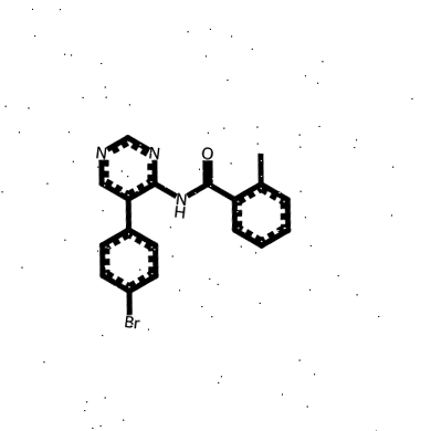 Cc1ccccc1C(=O)Nc1ncncc1-c1ccc(Br)cc1